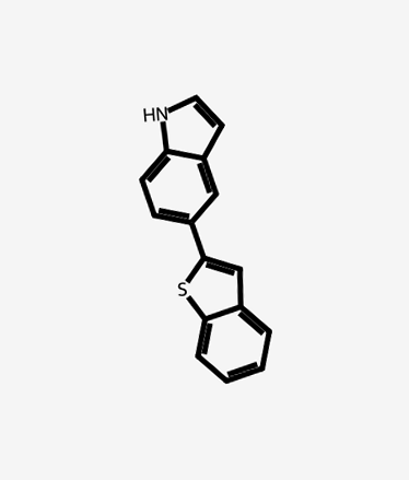 c1ccc2sc(-c3ccc4[nH]ccc4c3)cc2c1